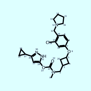 CN(CC1CC(Oc2ccc(CN3CCCC3)c(Cl)c2)C1)C(=O)Oc1cc(C2CC2)n[nH]1